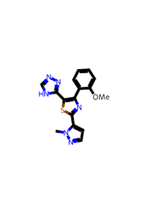 COc1ccccc1-c1nc(-c2ccnn2C)sc1-c1nnc[nH]1